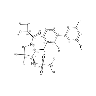 Cc1cc(F)cc(-c2cccc(C[C@H]3[C@@H](NS(=O)(=O)N(C)C)C(F)(F)CN3C(=O)[C@@H]3CCO3)c2F)c1